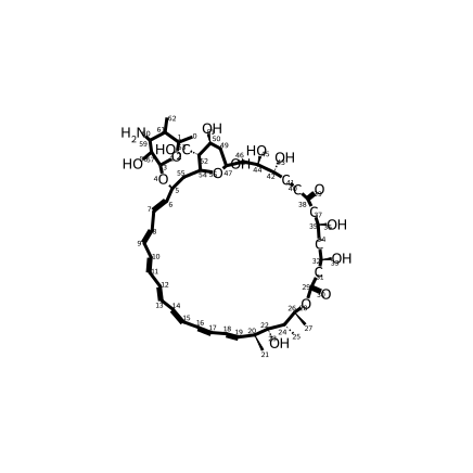 CC1OC(O[C@H]2/C=C/C=C/C=C/C=C/C=C/C=C/C=C/[C@H](C)[C@@H](O)[C@@H](C)[C@H](C)OC(=O)C[C@H](O)C[C@H](O)CC(=O)CC[C@@H](O)[C@H](O)C[C@]3(O)C[C@H](O)[C@@H](C(=O)O)C(C2)O3)C(O)C(N)C1C